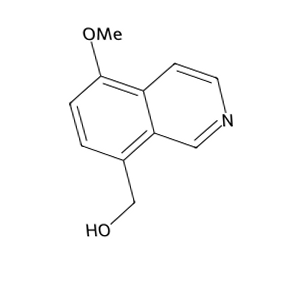 COc1ccc(CO)c2cnccc12